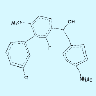 COc1ccc(C(O)c2ccc(NC(C)=O)cc2)c(F)c1-c1cccc(Cl)c1